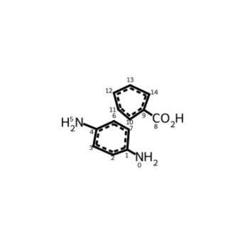 Nc1ccc(N)cc1.O=C(O)c1ccccc1